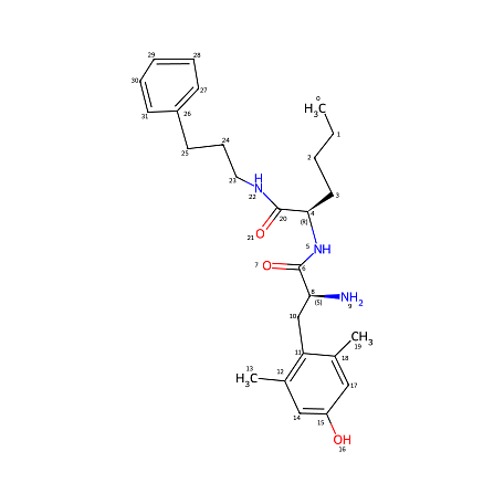 CCCC[C@@H](NC(=O)[C@@H](N)Cc1c(C)cc(O)cc1C)C(=O)NCCCc1ccccc1